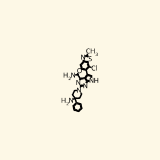 Cc1nc2ccc(-c3c[nH]c4nc(N5CCC(N)(c6ccccc6)CC5)nc(C(N)=O)c34)c(Cl)c2s1